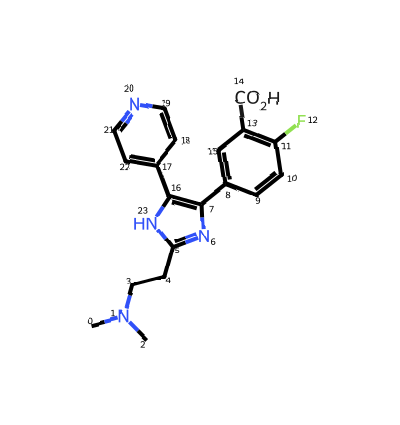 CN(C)CCc1nc(-c2ccc(F)c(C(=O)O)c2)c(-c2ccncc2)[nH]1